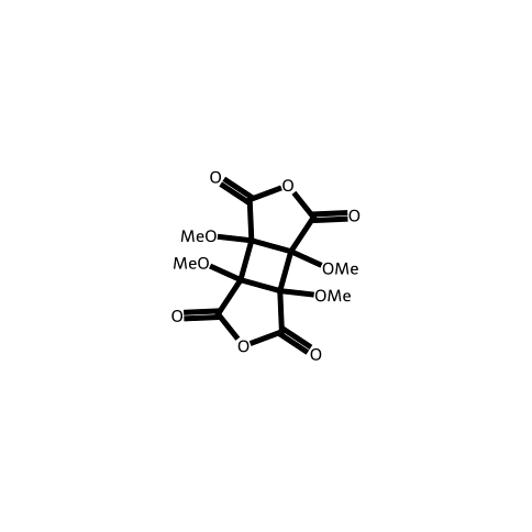 COC12C(=O)OC(=O)C1(OC)C1(OC)C(=O)OC(=O)C21OC